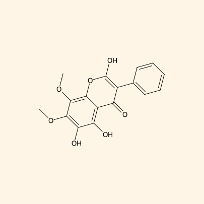 COc1c(O)c(O)c2c(=O)c(-c3ccccc3)c(O)oc2c1OC